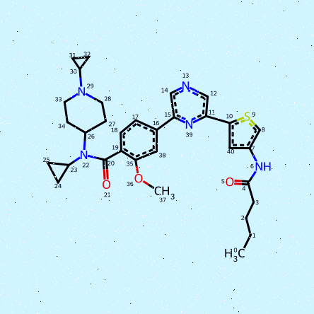 CCCCC(=O)Nc1csc(-c2cncc(-c3ccc(C(=O)N(C4CC4)C4CCN(C5CC5)CC4)c(OC)c3)n2)c1